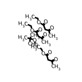 CC(C)(C)[O][Ti].CCOC(=O)CC(C)=O.CCOC(=O)CC(C)=O.CCOC(=O)CC(C)=O